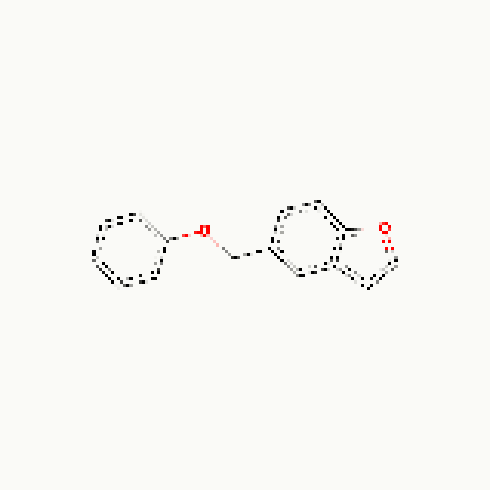 c1ccc(OCc2ccc3occc3c2)cc1